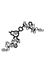 C=C1/C(c2cnc([C@@H]3CCCN3C(=O)[C@@H](NC(=O)OC(C)(C)C)C(C)C)[nH]2)=C\C=C(\C2CCC(c3cnc([C@@H]4CCCN4C(=O)[C@@H](NC(=O)OC(C)(C)C)C(C)C)[nH]3)CC2)CC2CC(C)CC1N2